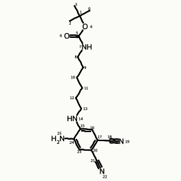 CC(C)(C)OC(=O)NCCCCCCNc1cc(C#N)c(C#N)cc1N